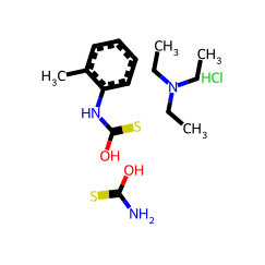 CCN(CC)CC.Cc1ccccc1NC(O)=S.Cl.NC(O)=S